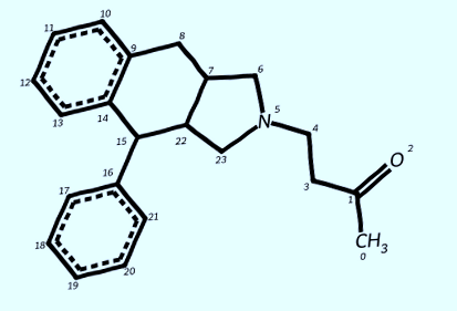 CC(=O)CCN1CC2Cc3ccccc3C(c3ccccc3)C2C1